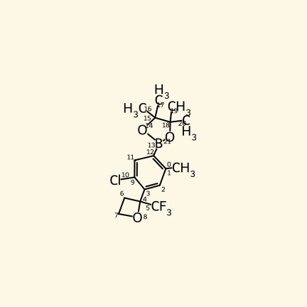 Cc1cc(C2(C(F)(F)F)CCO2)c(Cl)cc1B1OC(C)(C)C(C)(C)O1